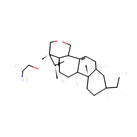 CO[C@@H]1C[C@@]23COC[C@](C)([C@@H]2CC[C@H]2C3=CC[C@@]3(C)[C@H](C(=O)O)[C@@](C)([C@H](C)C(C)C)CC[C@]23C)[C@H]1OC[C@H](N)C(C)(C)C